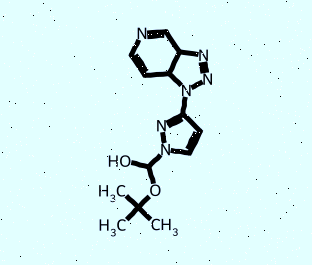 CC(C)(C)OC(O)n1ccc(N2N=NC3C=NC=CC32)n1